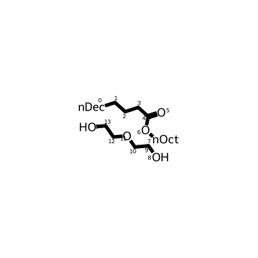 CCCCCCCCCCCCCC(=O)OCCCCCCCC.OCCOCCO